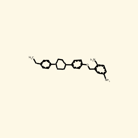 CCc1ccc(C2CCC(c3ccc(OCc4cc(N)ccc4N)cc3)CC2)cc1